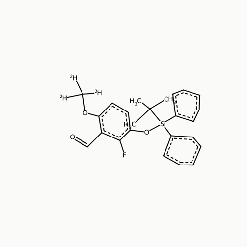 [2H]C([2H])([2H])Oc1ccc(O[Si](c2ccccc2)(c2ccccc2)C(C)(C)C)c(F)c1C=O